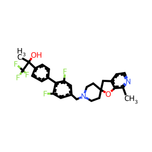 Cc1nccc2c1OC1(CCN(Cc3cc(F)c(-c4ccc(C(C)(O)C(F)(F)F)cc4)c(F)c3)CC1)C2